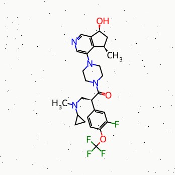 C[C@@H]1C[C@H](O)c2cncc(N3CCN(C(=O)[C@H](CN(C)C4CC4)c4ccc(OC(F)(F)F)c(F)c4)CC3)c21